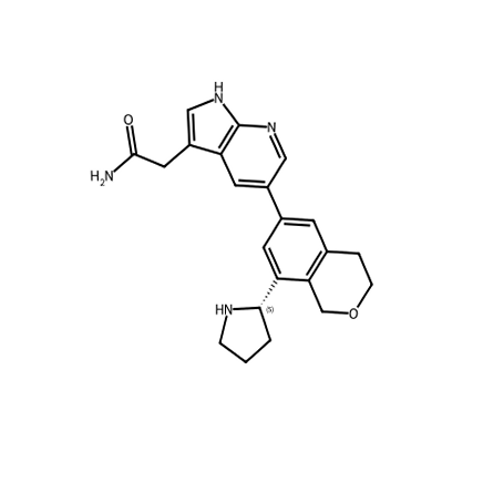 NC(=O)Cc1c[nH]c2ncc(-c3cc4c(c([C@@H]5CCCN5)c3)COCC4)cc12